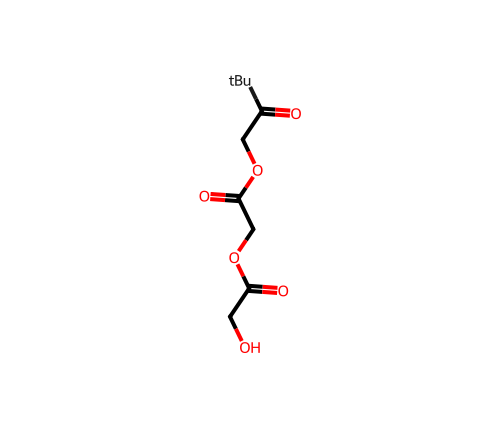 CC(C)(C)C(=O)COC(=O)COC(=O)CO